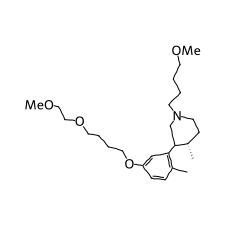 COCCCCN1CC[C@H](C)C(c2cc(OCCCCOCCOC)ccc2C)C1